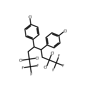 FC(F)(F)C(Cl)(Cl)CC(c1ccc(Cl)cc1)C(CC(Cl)(Cl)C(F)(F)F)c1ccc(Cl)cc1